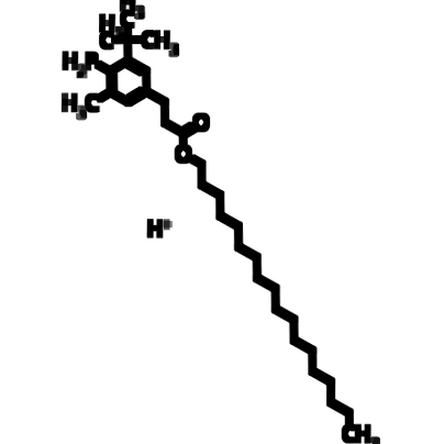 CCCCCCCCCCCCCCCCCCOC(=O)CCc1cc(C)c(P)c(C(C)(C)C)c1.[H+]